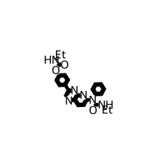 CCNC(=O)Oc1ccc(-c2cnc3ccc(N(C(=O)NCC)c4ccccc4)nc3n2)cc1